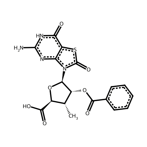 C[C@H]1[C@@H](OC(=O)c2ccccc2)[C@H](n2c(=O)sc3c(=O)[nH]c(N)nc32)O[C@@H]1C(=O)O